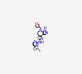 Cc1ccnc(Nc2nc3c(s2)CCN(CC2CCOC2)c2[nH]ncc2-3)n1